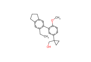 CCc1cc2c(cc1-c1cc(C3(CO)CC3)ccc1OC)CCC2